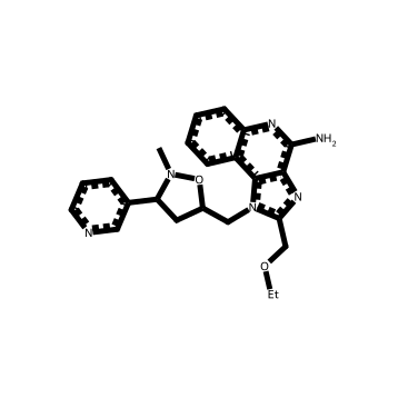 CCOCc1nc2c(N)nc3ccccc3c2n1CC1CC(c2cccnc2)N(C)O1